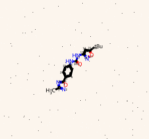 Cc1noc(-c2ccc(NC(=O)Nc3cc(C(C)(C)C)on3)cc2)n1